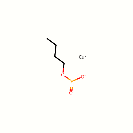 CCCCO[PH](=O)[O-].[Cu+]